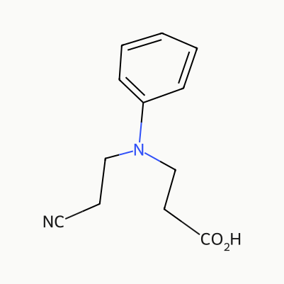 N#CCCN(CCC(=O)O)c1ccccc1